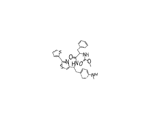 CNc1ccc(CC(NC(=O)C(Cc2ccccc2)NC(=O)OC)c2csc(-c3cccs3)n2)cc1